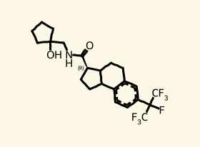 O=C(NCC1(O)CCCC1)[C@@H]1CCC2c3ccc(C(F)(C(F)(F)F)C(F)(F)F)cc3CCC21